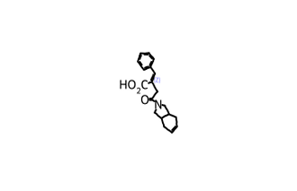 O=C(O)/C(=C\c1ccccc1)CC(=O)N1CC2CC=CCC2C1